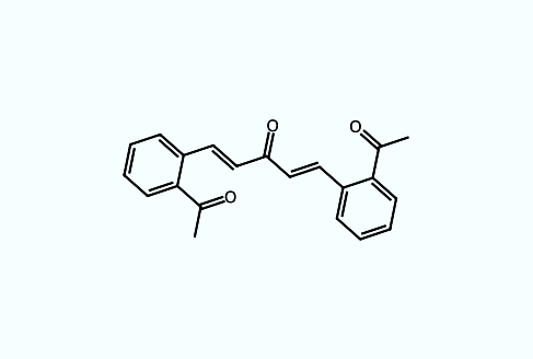 CC(=O)c1ccccc1/C=C/C(=O)/C=C/c1ccccc1C(C)=O